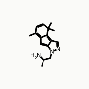 CC1=C2C=c3c(cnn3C[C@@H](C)N)=C2C(C)(C)C=C1